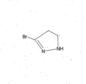 BrC1=NN[CH]C1